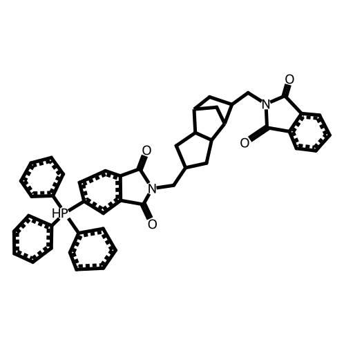 O=C1c2ccc([PH](c3ccccc3)(c3ccccc3)c3ccccc3)cc2C(=O)N1CC1CC2C3CC(CN4C(=O)c5ccccc5C4=O)C(C3)C2C1